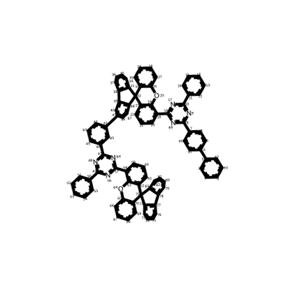 c1ccc(-c2ccc(-c3nc(-c4ccccc4)nc(-c4cccc5c4Oc4ccccc4C54c5ccccc5-c5cc(-c6cccc(-c7nc(-c8ccccc8)nc(-c8cccc9c8Oc8ccccc8C98c9ccccc9-c9ccccc98)n7)c6)ccc54)n3)cc2)cc1